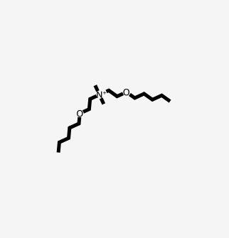 CCCCCOCC[N+](C)(C)CCOCCCCC